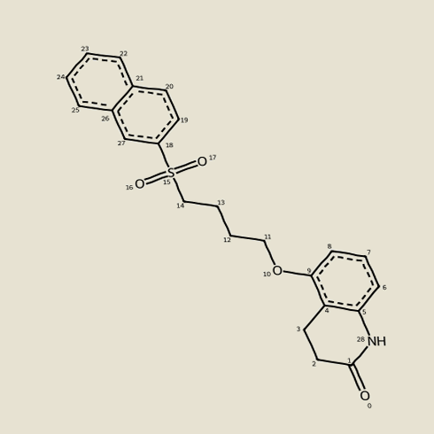 O=C1CCc2c(cccc2OCCCCS(=O)(=O)c2ccc3ccccc3c2)N1